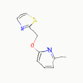 Cc1cccc(OCc2nccs2)n1